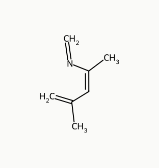 C=N/C(C)=C\C(=C)C